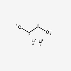 [Li+].[Li+].[O-]CC[O-]